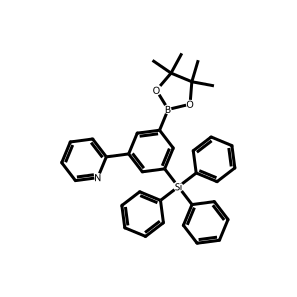 CC1(C)OB(c2cc(-c3ccccn3)cc([Si](c3ccccc3)(c3ccccc3)c3ccccc3)c2)OC1(C)C